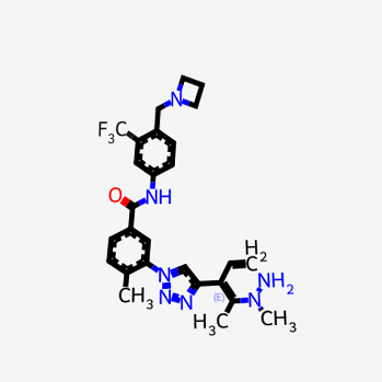 C=C/C(=C(/C)N(C)N)c1cn(-c2cc(C(=O)Nc3ccc(CN4CCC4)c(C(F)(F)F)c3)ccc2C)nn1